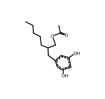 CCCCCC(COC(C)=O)Cc1[c]c(O)cc(O)c1